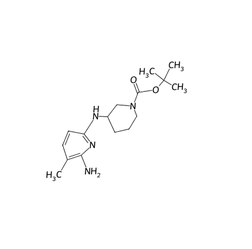 Cc1ccc(NC2CCCN(C(=O)OC(C)(C)C)C2)nc1N